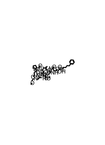 COCCOCCC(=O)N1CCC[C@H]1C(=O)N[C@@H](CC(C)C)C(=O)N[C@@H](Cc1cnc[nH]1)C(=O)N[C@@H](CO)C(=O)N[C@H](C(N)=O)[C@@H](C)OP(=O)(O)OCCCCc1ccccc1